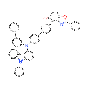 c1ccc(-c2cccc(N(c3ccc(-c4ccc5c(c4)oc4ccc6oc(-c7ccccc7)nc6c45)cc3)c3cccc4c3c3ccccc3n4-c3ccccc3)c2)cc1